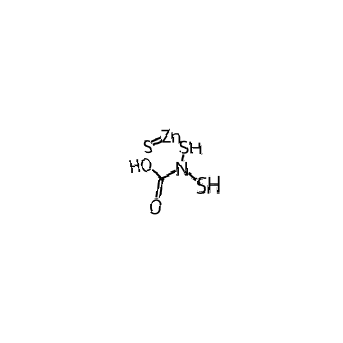 O=C(O)N(S)S.[S]=[Zn]